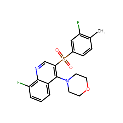 Cc1ccc(S(=O)(=O)c2cnc3c(F)cccc3c2N2CCOCC2)cc1F